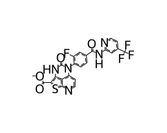 COC(=O)c1sc2nccc3c2c1NC(=O)N3c1ccc(C(=O)Nc2cc(C(F)(F)F)ccn2)cc1F